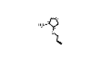 C=CCO[C@H]1COC[C@@H]1N